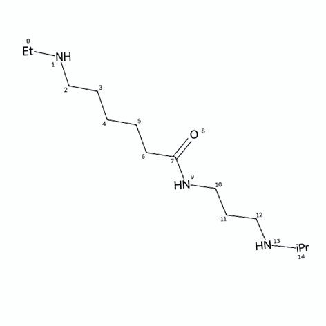 CCNCCCCCC(=O)NCCCNC(C)C